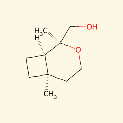 C[C@@]12CCO[C@](C)(CO)[C@@H]1CC2